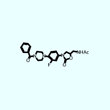 CC(=O)NCC1CN(c2ccc(N3CCN(C(=O)c4ccccc4)CC3)c(F)c2)C(=O)O1